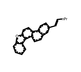 CCC/C=C/c1ccc2c(ccc3c2ccc2oc4ccccc4c23)c1